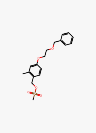 Cc1cc(OCCOCc2ccccc2)ccc1COS(C)(=O)=O